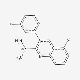 C[C@H](N)c1nc2cccc(Cl)c2cc1-c1cccc(F)c1